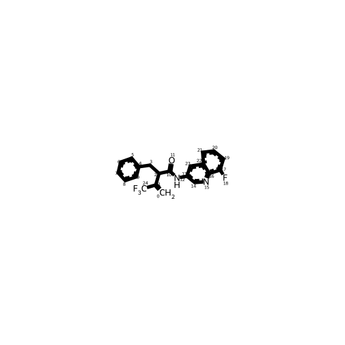 C=C(C(Cc1ccccc1)C(=O)Nc1cnc2c(F)cccc2c1)C(F)(F)F